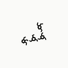 CCc1cc(CC)cc(CC)c1.CCc1cc(CC)cc(CC)c1.CCc1ccc(CC)c(CC)c1.CCc1cccc(CC)c1CC